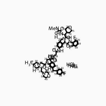 CN[C@@H](C)C(=O)N[C@H](C(=O)N1Cc2ccc(NC(=O)CNC(=O)[C@@]3(C)CN(C(=O)CN4C[C@@H](C)NC[C@H]4CCN4CCOC[C@H]4C)c4cc(Cc5ccc(F)cc5)ccc43)cc2[C@H]1C(=O)Nc1c(F)cccc1F)C1CCOCC1.Cl.Cl.Cl